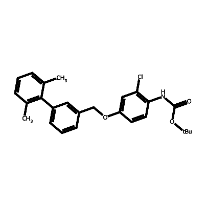 Cc1cccc(C)c1-c1cccc(COc2ccc(NC(=O)OC(C)(C)C)c(Cl)c2)c1